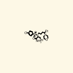 CCC(CCCN(C(CC(C)C)C(N)=O)S(=O)(=O)c1ccc(Cl)cc1)N1CCOCC1